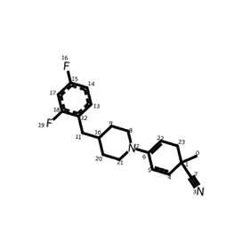 CC1(C#N)C=CC(N2CCC(Cc3ccc(F)cc3F)CC2)=CC1